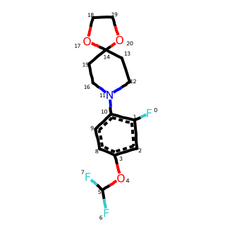 Fc1cc(OC(F)F)ccc1N1CCC2(CC1)OCCO2